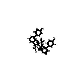 CC1=C2c3c(-c4ccc(C)cc4)cccc3[CH]1[Zr]([CH3])([CH3])[CH]1C(C)=C(c3c(-c4ccc(C)cc4)cccc31)[Si]2(C)C